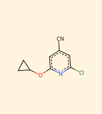 N#Cc1cc(Cl)nc(OC2CC2)c1